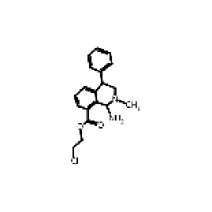 CN1CC(c2ccccc2)c2cccc(C(=O)OCCCl)c2C1N